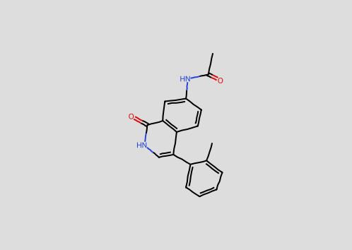 CC(=O)Nc1ccc2c(-c3ccccc3C)c[nH]c(=O)c2c1